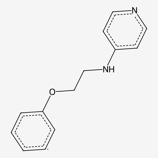 [c]1cccc(OCCNc2ccncc2)c1